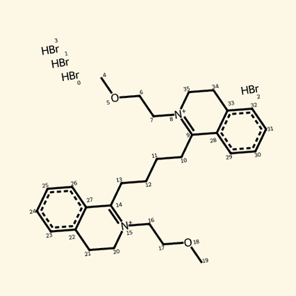 Br.Br.Br.Br.COCC[N+]1=C(CCCCC2=[N+](CCOC)CCc3ccccc32)c2ccccc2CC1